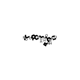 Cc1ncoc1COc1ccc2c(c1C)CCN(CC(O)CNC(=O)c1cc(NC3CCC3)nc(N3CCOCC3)c1)C2